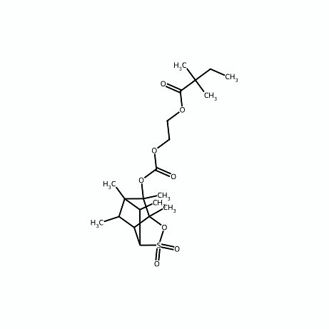 CCC(C)(C)C(=O)OCCOC(=O)OC1(C)C2(C)OS(=O)(=O)C3C2C(C)C1(C)C3C